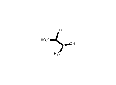 CC(C)C(C(=O)O)N(N)O